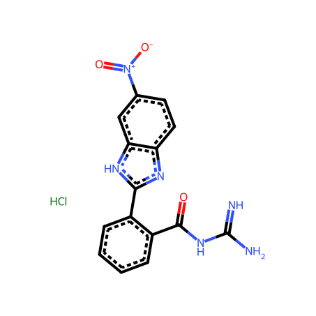 Cl.N=C(N)NC(=O)c1ccccc1-c1nc2ccc([N+](=O)[O-])cc2[nH]1